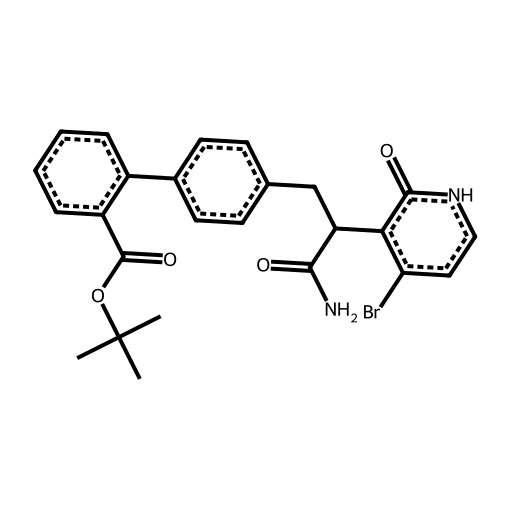 CC(C)(C)OC(=O)c1ccccc1-c1ccc(CC(C(N)=O)c2c(Br)cc[nH]c2=O)cc1